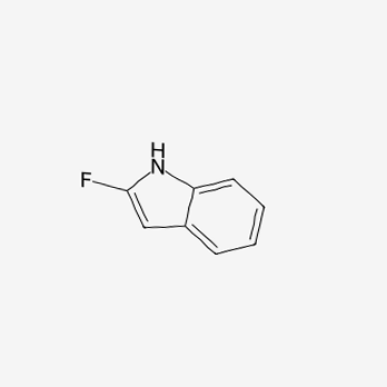 Fc1cc2ccccc2[nH]1